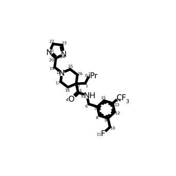 CC(C)CC1(C(=O)NCc2cc(CF)cc(C(F)(F)F)c2)CCN(CC2=NCC=N2)CC1